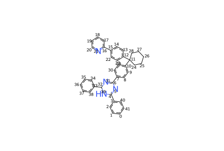 c1ccc(C2=NC(c3ccc(C4(c5ccc(-c6ccccn6)cc5)CCCCC4)cc3)=NC(c3ccccc3)N2)cc1